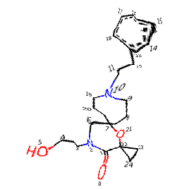 O=C1N(CCO)CC2(CCN(CCc3ccccc3)CC2)OC12CC2